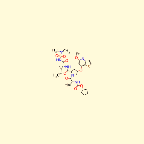 C=C[C@@H]1C[C@]1(NC(=O)[C@@H]1C[C@@H](Oc2cc(OCC)nc3ccsc23)CN1C(=O)[C@@H](NC(=O)OC1CCCC1)C(C)(C)C)C(=O)NS(=O)(=O)N(C)C